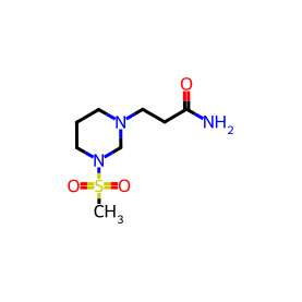 CS(=O)(=O)N1CCCN(CCC(N)=O)C1